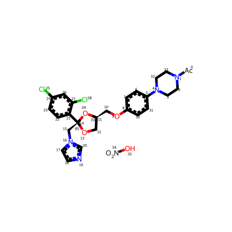 CC(=O)N1CCN(c2ccc(OC[C@H]3CO[C@](Cn4ccnc4)(c4ccc(Cl)cc4Cl)O3)cc2)CC1.O=[N+]([O-])O